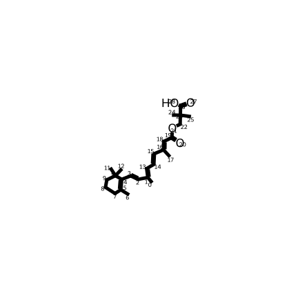 CC(C=CC1=C(C)CCCC1(C)C)=CC=C/C(C)=C/C(=O)OCC(C)(C)C(=O)O